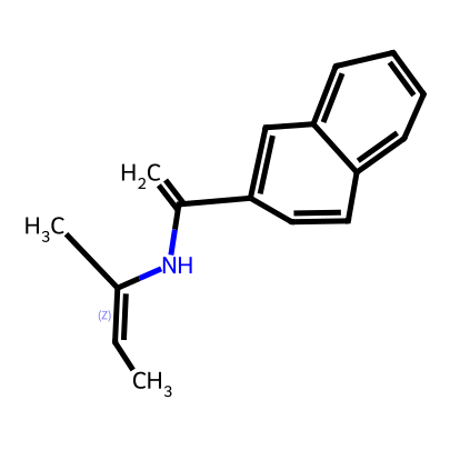 C=C(N/C(C)=C\C)c1ccc2ccccc2c1